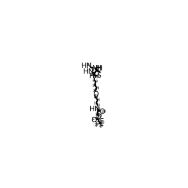 N=C1N[C@H]2[C@H](CS[C@H]2CCCCCOCCCCNC(=O)COC(=O)C(F)(F)F)N1